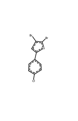 Clc1ccc(-c2cc(Br)c(Br)s2)cc1